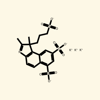 CC1=Nc2ccc3c(S(=O)(=O)[O-])cc(S(=O)(=O)[O-])cc3c2C1(C)CCCS(=O)(=O)[O-].[K+].[K+].[K+]